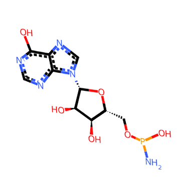 NP(O)OC[C@H]1O[C@@H](n2cnc3c(O)ncnc32)[C@H](O)[C@@H]1O